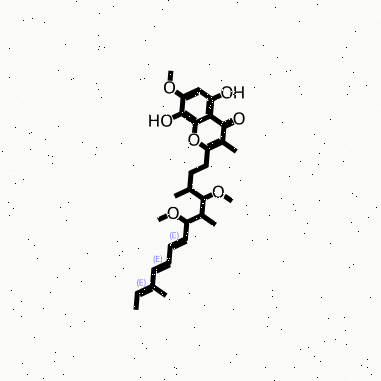 C/C=C(C)/C=C/C=C/C(OC)C(C)C(OC)C(C)CCc1oc2c(O)c(OC)cc(O)c2c(=O)c1C